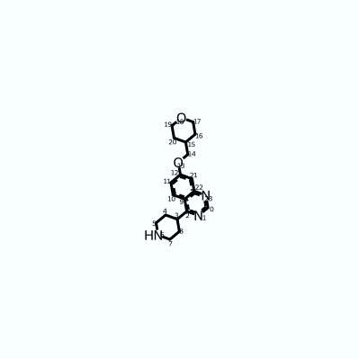 c1nc(C2CCNCC2)c2ccc(OCC3CCOCC3)cc2n1